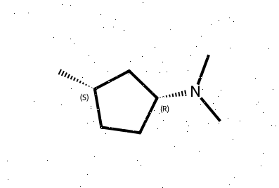 C[C@H]1CC[C@@H](N(C)C)C1